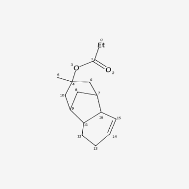 CCC(=O)OC1(C)CC2CC(C1)C1CCC=CC21